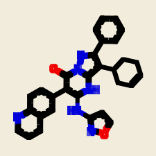 O=c1c(-c2ccc3ncccc3c2)c(Nc2ccon2)[nH]c2c(C3CC=CCC3)c(-c3ccccc3)nn12